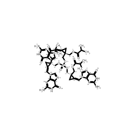 CC(C)C(=O)OC[C@]1(COP(=O)(OC[C@@]2(COC(=O)C(C)C)C/C2=C/n2cnc3c(=O)[nH]c(N)nc32)OC[C@@]2(COC(=O)C(C)C)C/C2=C/n2cnc3c(=O)[nH]c(N)nc32)C/C1=C/n1cnc2c(=O)[nH]c(N)nc21